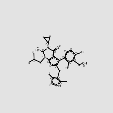 Cc1n[nH]c(C)c1Cc1sc2c(c1-c1ccc(F)c(CO)c1F)C(=O)N(C1CC1)C(O)N2CC(C)C